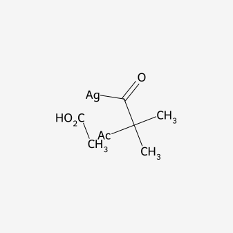 CC(=O)C(C)(C)[C](=O)[Ag].CC(=O)O